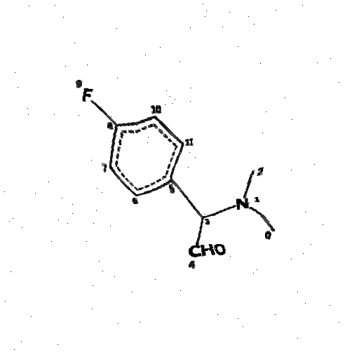 CN(C)C(C=O)c1ccc(F)cc1